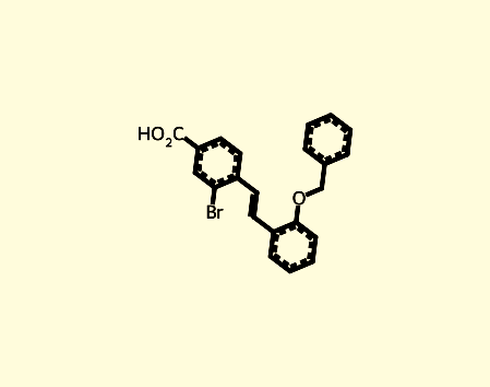 O=C(O)c1ccc(C=Cc2ccccc2OCc2ccccc2)c(Br)c1